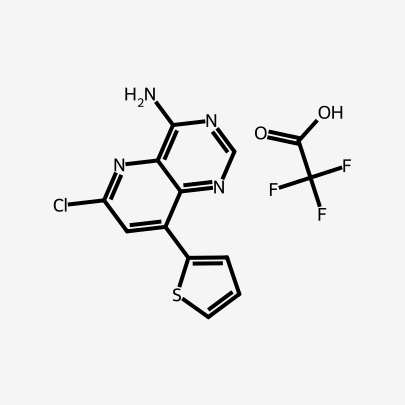 Nc1ncnc2c(-c3cccs3)cc(Cl)nc12.O=C(O)C(F)(F)F